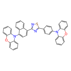 c1ccc2c(c1)Oc1ccccc1N2c1ccc(-c2nc(-c3ccc(N4c5ccccc5Oc5ccccc54)c4ccccc34)ns2)cc1